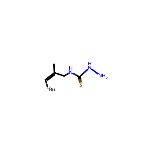 CC(=CC(C)(C)C)CNC(=S)NN